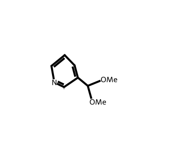 COC(OC)c1[c]nccc1